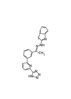 C/C(=N\Nc1nc2ccccc2s1)c1cccc(-c2cccc(-c3nnn[nH]3)n2)c1